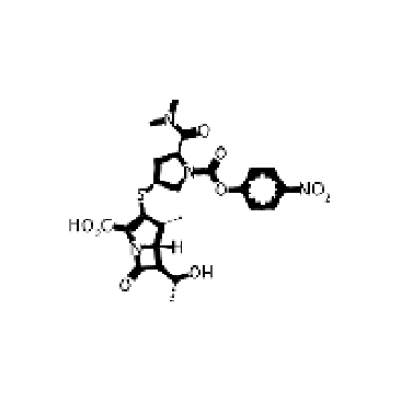 C[C@@H](O)[C@H]1C(=O)N2C(C(=O)O)=C(S[C@H]3C[C@@H](C(=O)N(C)C)N(C(=O)Oc4ccc([N+](=O)[O-])cc4)C3)[C@H](C)[C@H]12